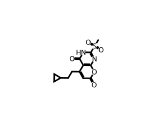 CS(=O)(=O)c1nc2oc(=O)cc(CCC3CC3)c2c(=O)[nH]1